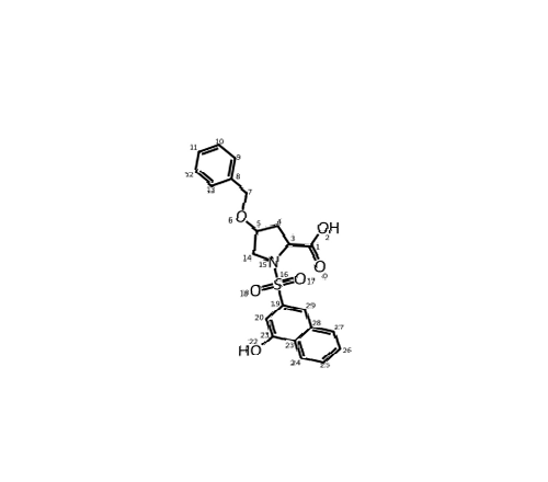 O=C(O)C1CC(OCc2ccccc2)CN1S(=O)(=O)c1cc(O)c2ccccc2c1